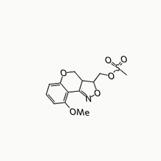 COc1cccc2c1C1=NOC(COS(C)(=O)=O)C1CO2